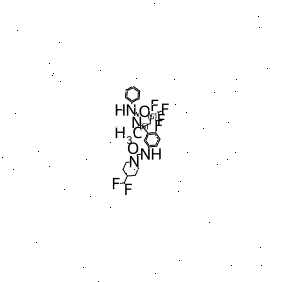 C[C@@]1(c2cc(NC(=O)N3CCC(C(F)F)CC3)ccc2F)C[C@@H](C(F)(F)F)OC(Nc2ccccc2)=N1